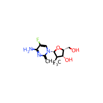 C=C1N=C(N)C(F)=CN1[C@@H]1O[C@H](CO)[C@H](O)C1C(F)(F)F